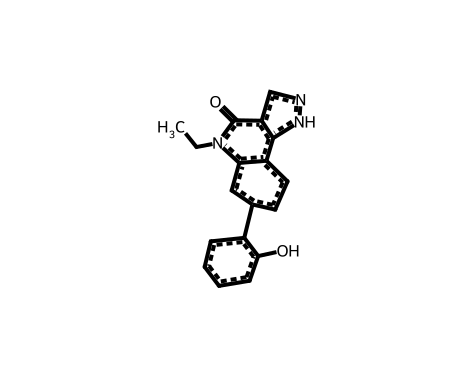 CCn1c(=O)c2cn[nH]c2c2ccc(-c3ccccc3O)cc21